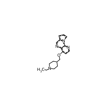 CCN1CCC(COc2ccnc3c2ncc2cccn23)CC1